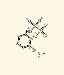 Fc1ccccc1.O=S(=O)(O)S(=O)(=O)O.[NaH]